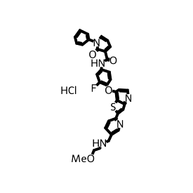 COCCNCc1ccc(-c2cc3nccc(Oc4ccc(NC(=O)c5cccn(-c6ccccc6)c5=O)cc4F)c3s2)nc1.Cl